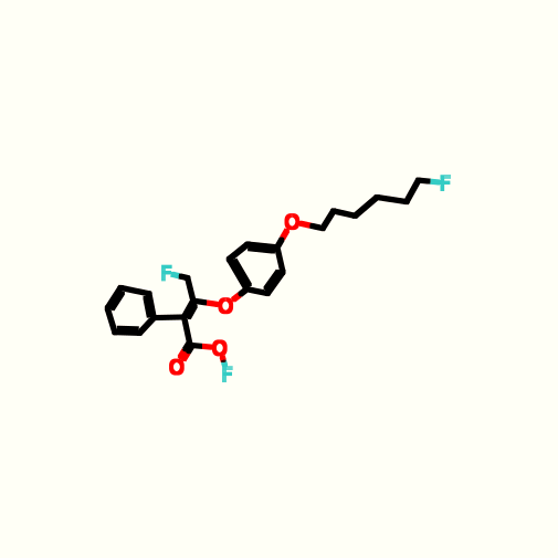 O=C(OF)C(=C(CF)Oc1ccc(OCCCCCCF)cc1)c1ccccc1